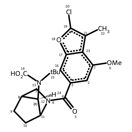 COc1cc(C(=O)N2CC3CCC2[C@@H]3N(C(=O)O)C(C)(C)C)cc2oc(Cl)c(C)c12